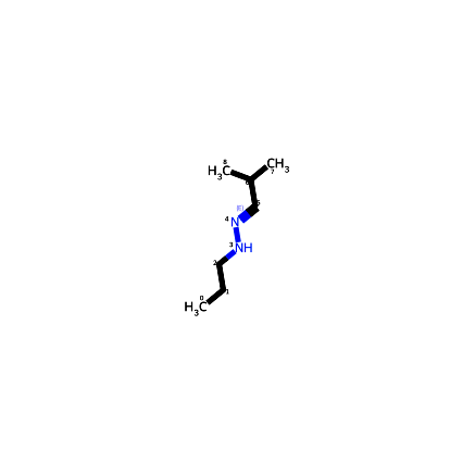 CCCN/N=C/C(C)C